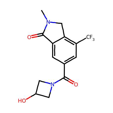 CN1Cc2c(cc(C(=O)N3CC(O)C3)cc2C(F)(F)F)C1=O